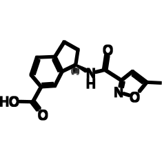 Cc1cc(C(=O)N[C@@H]2CCc3ccc(C(=O)O)cc32)no1